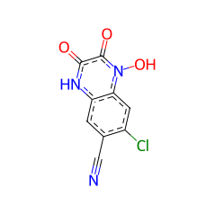 N#Cc1cc2[nH]c(=O)c(=O)n(O)c2cc1Cl